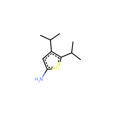 CC(C)c1cc(N)sc1C(C)C